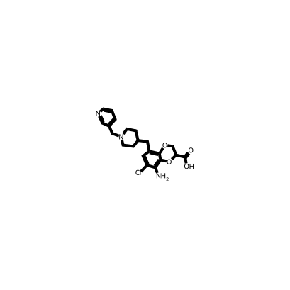 Nc1c(Cl)cc(CC2CCN(Cc3cccnc3)CC2)c2c1OC(C(=O)O)CO2